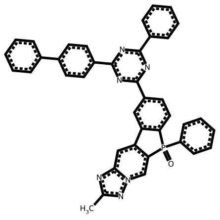 Cc1nc2cc3c(cn2n1)P(=O)(c1ccccc1)c1ccc(-c2nc(-c4ccccc4)nc(-c4ccc(-c5ccccc5)cc4)n2)cc1-3